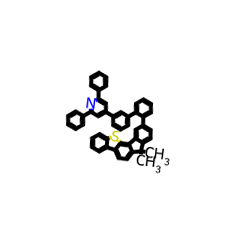 CC1(C)c2ccc(-c3ccccc3-c3cccc(-c4cc(-c5ccccc5)nc(-c5ccccc5)c4)c3)cc2-c2c1ccc1c2sc2ccccc21